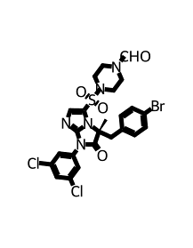 C[C@@]1(Cc2ccc(Br)cc2)C(=O)N(c2cc(Cl)cc(Cl)c2)c2ncc(S(=O)(=O)N3CCN(C=O)CC3)n21